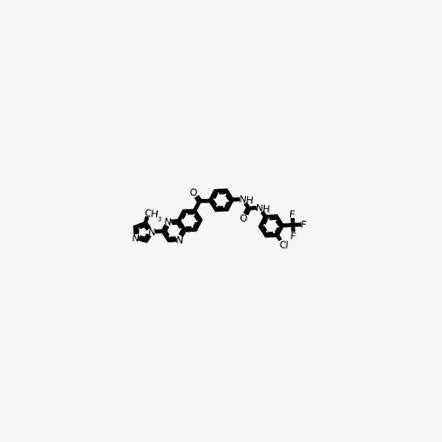 Cc1cncn1-c1cnc2ccc(C(=O)c3ccc(NC(=O)Nc4ccc(Cl)c(C(F)(F)F)c4)cc3)cc2n1